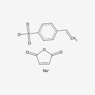 C=Cc1ccc(S(=O)(=O)[O-])cc1.O=C1C=CC(=O)O1.[Na+]